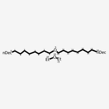 CCCCCCCCCCCCCCCCCCOCCCCCCCCCCCCCCCCCC.CCOCC